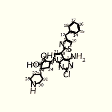 Nc1nc(Cl)nc2c1c(-c1nc(Cc3ccccc3)cs1)cn2[C@@H]1C[C@H](C2CCNCC2)[C@@H](O)[C@H]1O